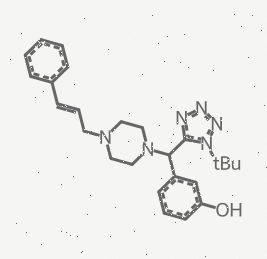 CC(C)(C)n1nnnc1C(c1cccc(O)c1)N1CCN(C/C=C/c2ccccc2)CC1